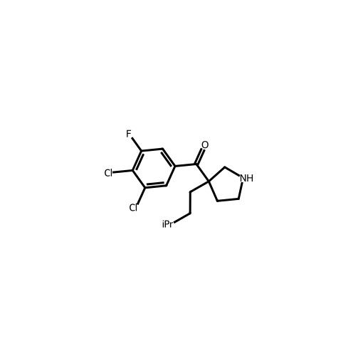 CC(C)CCC1(C(=O)c2cc(F)c(Cl)c(Cl)c2)CCNC1